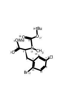 COC(=O)[C@H](Cc1cc(Cl)ccc1Br)N(C)C(=O)OC(C)(C)C